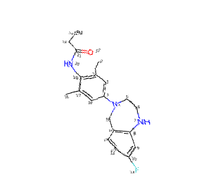 Cc1cc(N2CCNc3cc(F)ccc3C2)cc(C)c1NC(=O)CC(C)(C)C